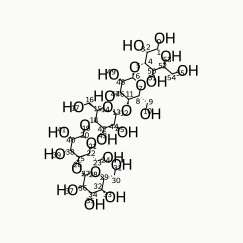 OC[C@@H](O)[C@@H](O[C@H]1O[C@H](CO)[C@@H](O[C@H]2O[C@H](CO)[C@@H](O[C@H]3O[C@H](CO)[C@@H](O[C@H]4O[C@H](CO)[C@@H](O)[C@H](O)[C@H]4O)[C@H](O)[C@H]3O)[C@H](O)[C@H]2O)[C@H](O)[C@H]1O)[C@H](O)[C@@H](O)CO